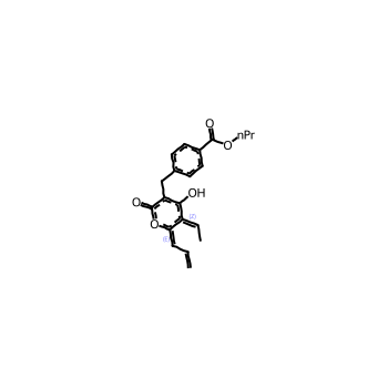 C=C/C=c1/oc(=O)c(Cc2ccc(C(=O)OCCC)cc2)c(O)/c1=C/C